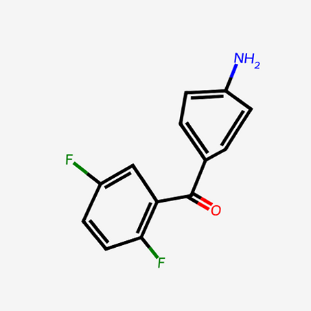 Nc1ccc(C(=O)c2cc(F)ccc2F)cc1